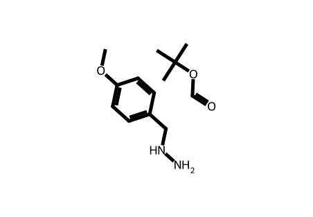 CC(C)(C)OC=O.COc1ccc(CNN)cc1